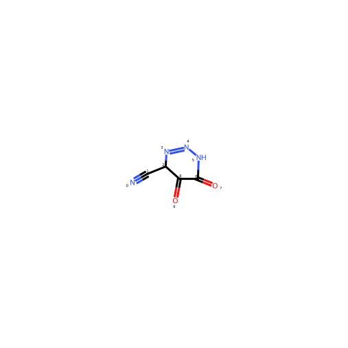 N#CC1N=NNC(=O)C1=O